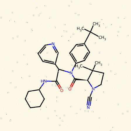 CC(C)(C)c1ccc(N(C(=O)[C@@H]2N(C#N)CCC2(C)C)C(C(=O)NC2CCCCC2)c2cccnc2)cc1